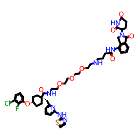 O=C1CCC(N2Cc3c(NC(=O)CCCNCCOCCOCCOCCNC(=O)[C@]4(Cc5cccc(Nc6nccs6)n5)CC[C@@H](Oc5cccc(Cl)c5F)CC4)cccc3C2=O)C(=O)N1